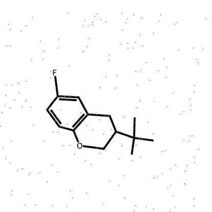 CC(C)(C)C1COc2ccc(F)cc2C1